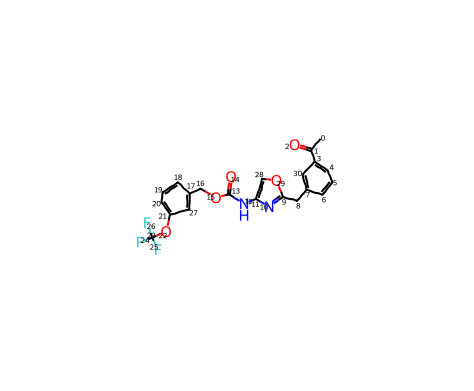 CC(=O)c1cccc(Cc2nc(NC(=O)OCc3cccc(OC(F)(F)F)c3)co2)c1